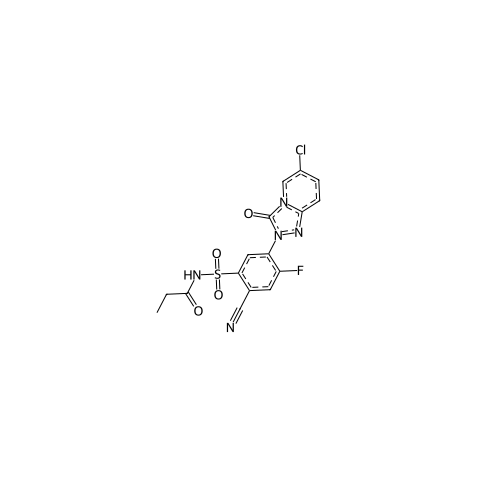 CCC(=O)NS(=O)(=O)c1cc(-n2nc3ccc(Cl)cn3c2=O)c(F)cc1C#N